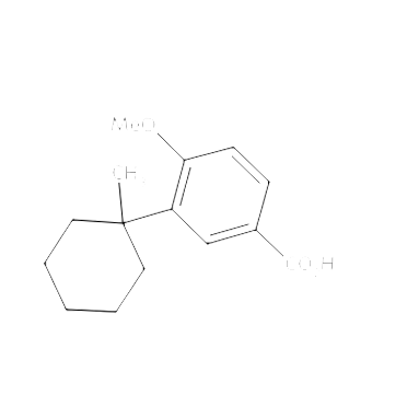 COc1ccc(C(=O)O)cc1C1(C)CCCCC1